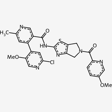 COc1ccc(C(=O)N2Cc3nc(NC(=O)c4cnc(C)cc4-c4cc(Cl)ncc4OC)sc3C2)nc1